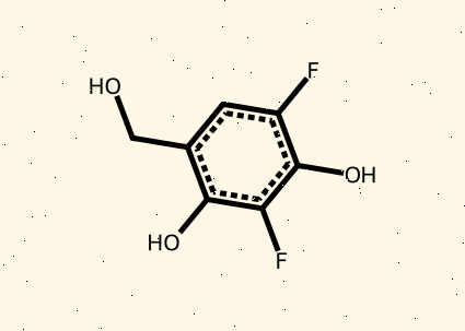 OCc1cc(F)c(O)c(F)c1O